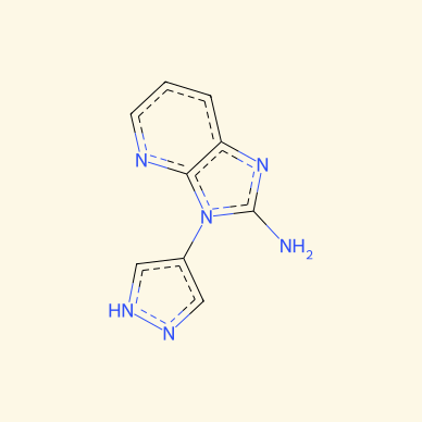 Nc1nc2cccnc2n1-c1cn[nH]c1